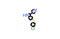 CN1CCC(c2c[nH]c3ccc(Sc4ccc(Cl)cc4)cc23)CC1